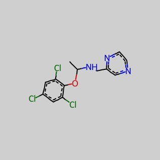 CC(NCc1cnccn1)Oc1c(Cl)cc(Cl)cc1Cl